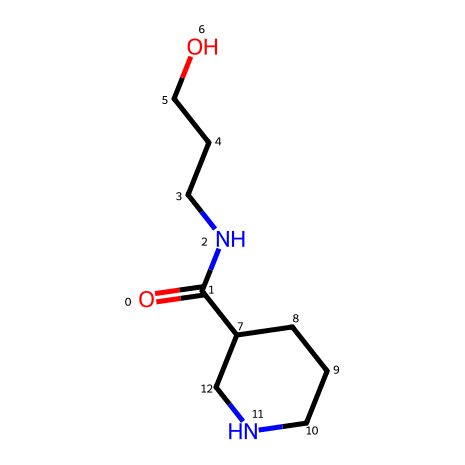 O=C(NCCCO)C1CCCNC1